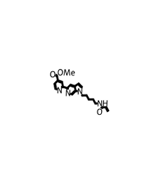 C=CC(=O)NCCCCCn1ccc2cc(-c3cc(C(=O)OC)ccn3)ncc21